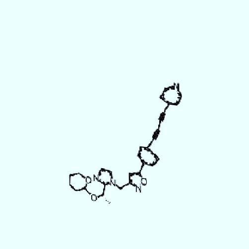 C[C@H](OC1CCCCO1)c1nccn1Cc1cc(-c2ccc(C#CC#Cc3ccncc3)cc2)on1